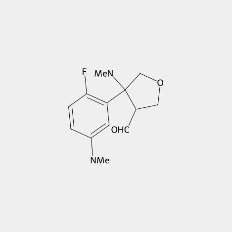 CNc1ccc(F)c(C2(NC)COCC2C=O)c1